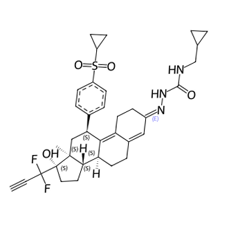 C#CC(F)(F)[C@]1(O)CC[C@H]2[C@@H]3CCC4=C/C(=N/NC(=O)NCC5CC5)CCC4=C3[C@H](c3ccc(S(=O)(=O)C4CC4)cc3)C[C@@]21C